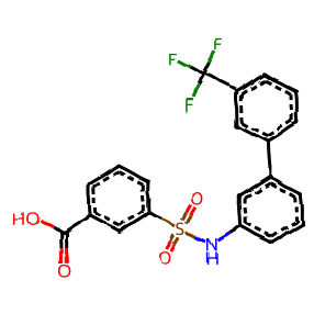 O=C(O)c1cccc(S(=O)(=O)Nc2cccc(-c3cccc(C(F)(F)F)c3)c2)c1